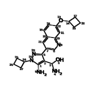 Nc1c(C(N)O)c(-c2cnc3cc(OC4CCC4)ccc3c2)nn1C1CCC1